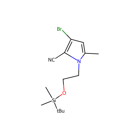 Cc1cc(Br)c(C#N)n1CCO[Si](C)(C)C(C)(C)C